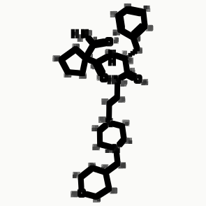 NC(=O)C1(C(=O)N[C@H](Cc2ccccc2)C(=O)NCCN2CCN(CC3CCOCC3)CC2)CCCC1